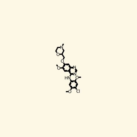 COc1cc(Nc2ncnc3cc(OCC4CN(C)CCO4)c(OC)cc23)c(OC)cc1Cl